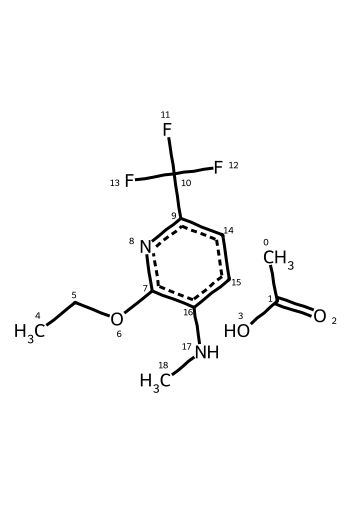 CC(=O)O.CCOc1nc(C(F)(F)F)ccc1NC